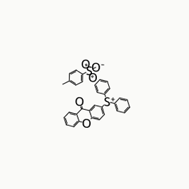 Cc1ccc(S(=O)(=O)[O-])cc1.O=c1c2ccccc2oc2ccc([S+](c3ccccc3)c3ccccc3)cc12